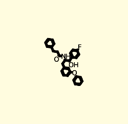 O=C(CCc1ccccc1)NC(Cc1cccc(Oc2ccccc2)c1)C(O)c1ccc(F)cc1